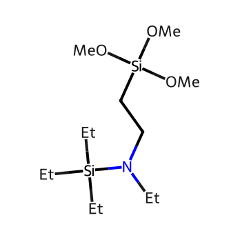 CCN(CC[Si](OC)(OC)OC)[Si](CC)(CC)CC